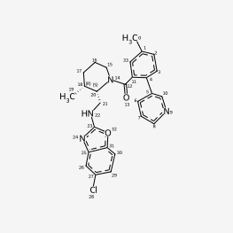 Cc1ccc(-c2cccnc2)c(C(=O)N2CCC[C@@H](C)[C@H]2CNc2nc3cc(Cl)ccc3o2)c1